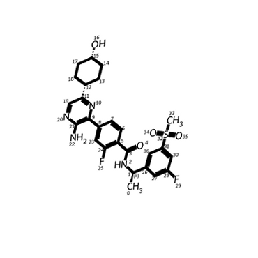 C[C@@H](NC(=O)c1ccc(-c2nc([C@H]3CC[C@@H](O)CC3)cnc2N)cc1F)c1cc(F)cc(S(C)(=O)=O)c1